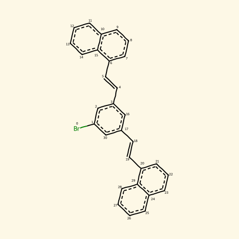 Brc1cc(C=Cc2cccc3ccccc23)cc(C=Cc2cccc3ccccc23)c1